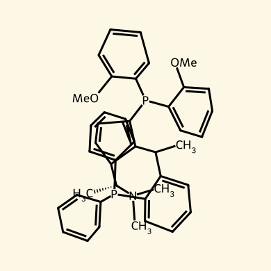 COc1ccccc1P(C1=C(C(C)c2ccccc2P(c2ccccc2)c2ccccc2)C([C@@H](C)N(C)C)C=C1)c1ccccc1OC